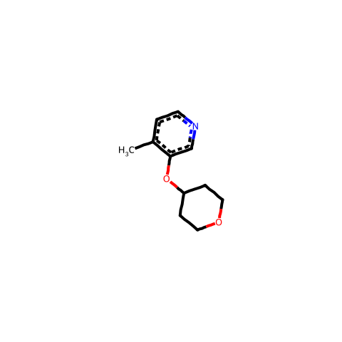 Cc1ccncc1OC1CCOCC1